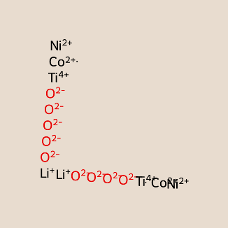 [Co+2].[Co+2].[Li+].[Li+].[Ni+2].[Ni+2].[O-2].[O-2].[O-2].[O-2].[O-2].[O-2].[O-2].[O-2].[O-2].[Ti+4].[Ti+4]